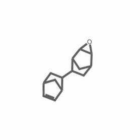 C1=CC2CC1CC2C1CC2CC1C1OC21